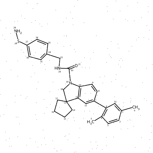 Cc1ccc(C)c(-c2ccc3c(c2)C2(CCCC2)CN3C(=O)NCc2ccc(SN)cc2)c1